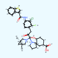 O=C(Nc1ccc(CC(=O)C(OC2CCC(C(=O)O)CC2)(N2CCCC2)N2C[C@@H]3C[C@H]3C2)c(F)c1Cl)c1csc2ccccc12